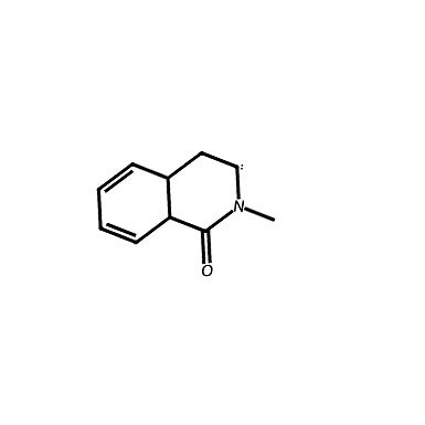 CN1[C]CC2C=CC=CC2C1=O